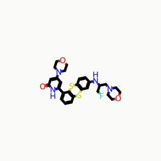 O=c1cc(N2CCOCC2)cc(-c2cccc3c2Sc2ccc(NC(CF)CN4CCOCC4)cc2S3)[nH]1